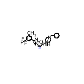 Cc1cc(-c2ncn(/C=C\C(=O)NN3CCN(Cc4ccccc4)CC3)n2)cc(C(F)(F)F)c1